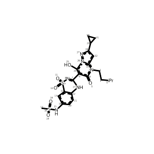 CC(C)CCn1c(=O)c(C2=NS(=O)(=O)c3cc(NS(C)(=O)=O)ccc3N2)c(O)n2nc(C3CC3)cc12